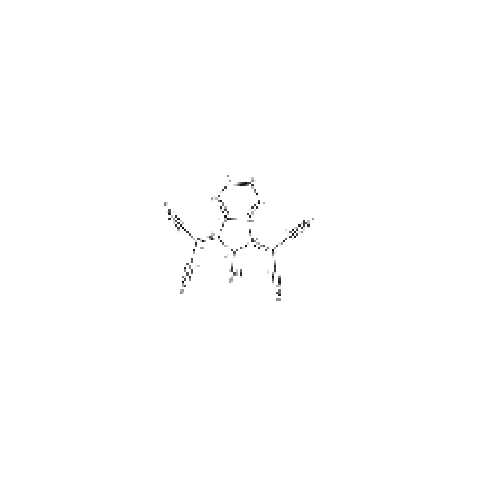 N#CC(C#N)=C1c2ccccc2C(=C(C#N)C#N)C1O